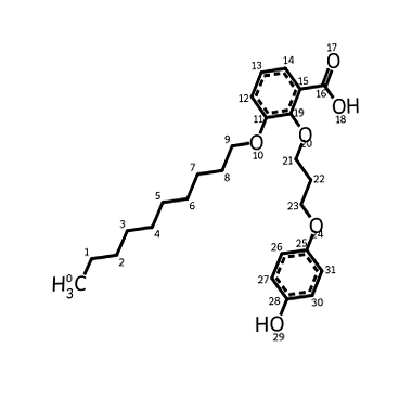 CCCCCCCCCCOc1cccc(C(=O)O)c1OCCCOc1ccc(O)cc1